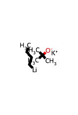 CC(C)(C)[O-].[K+].[Li][CH2]CCC